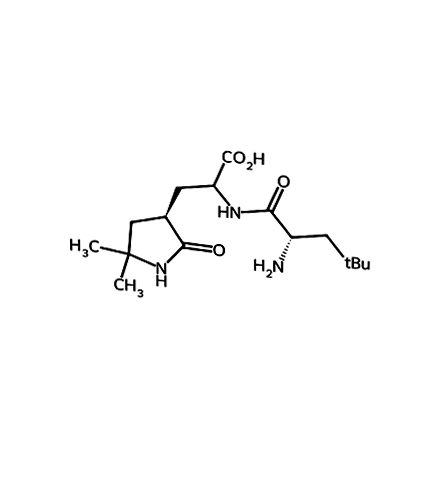 CC(C)(C)C[C@H](N)C(=O)NC(C[C@@H]1CC(C)(C)NC1=O)C(=O)O